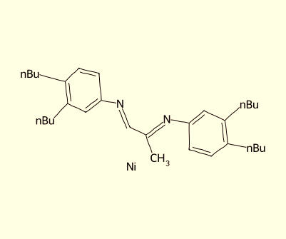 CCCCc1ccc(N=CC(C)=Nc2ccc(CCCC)c(CCCC)c2)cc1CCCC.[Ni]